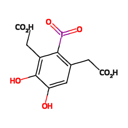 O=C(O)Cc1cc(O)c(O)c(CC(=O)O)c1I(=O)=O